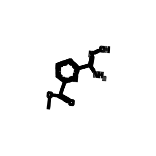 COC(=O)c1cccc(/C(N)=N/O)n1